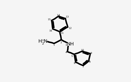 NCC(NCc1ccccc1)c1ccccc1